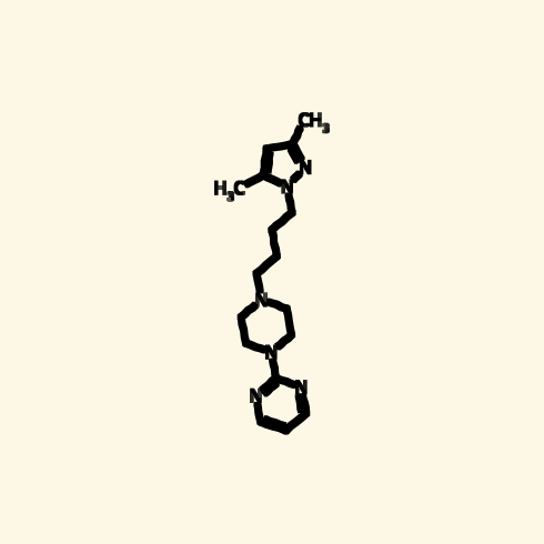 Cc1cc(C)n(CCCCN2CCN(c3ncccn3)CC2)n1